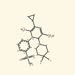 CC1=C(C2CC2)C=C(C(=O)O)C(N2CCC(F)(F)CC2)N1c1ccnc(S(N)(=O)=O)c1